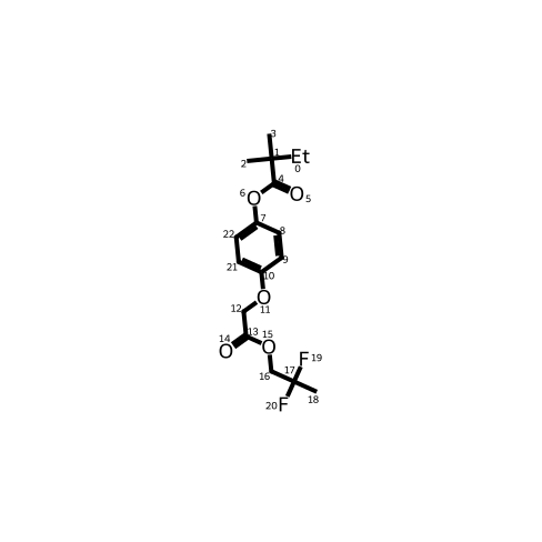 CCC(C)(C)C(=O)Oc1ccc(OCC(=O)OCC(C)(F)F)cc1